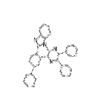 c1ccc(-c2ccc3c(c2)c2nc(-c4ccccc4)c(-c4ccccc4)nc2n2c4ccccc4nc32)cc1